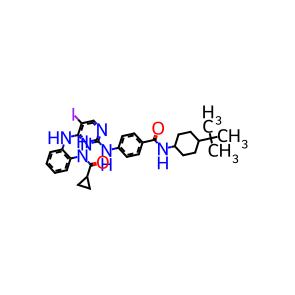 CC(C)(C)C1CCC(NC(=O)c2ccc(Nc3ncc(I)c(Nc4ccccc4NC(=O)C4CC4)n3)cc2)CC1